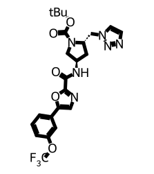 CC(C)(C)OC(=O)N1C[C@H](NC(=O)c2ncc(-c3cccc(OC(F)(F)F)c3)o2)C[C@H]1Cn1ccnn1